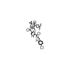 O=C(NCc1ccc(Cl)cc1)c1ncc2n1CCN(CC1(S(=O)(=O)N3CC(F)(F)C3)CC1)C2=O